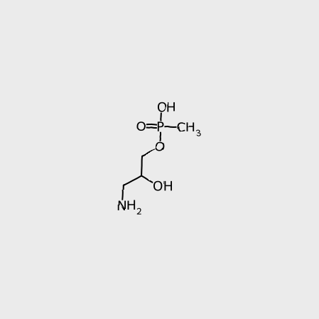 CP(=O)(O)OCC(O)CN